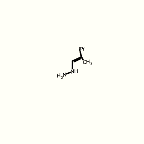 C/C(=C\NN)C(C)C